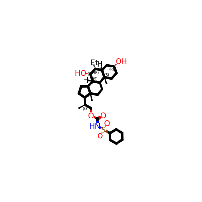 CC[C@H]1[C@@H](O)[C@H]2C3CCC([C@H](C)COC(=O)NS(=O)(=O)C4CCCCC4)[C@@]3(C)CCC2[C@@]2(C)CC[C@@H](O)C[C@@H]12